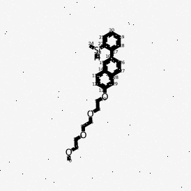 COCCOCCOCCOc1ccc2cc(-c3ccccc3[SiH](C)C)ccc2c1